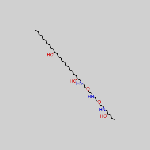 CCCCCCCCCCC(O)CCCCCCCCCCCC(O)CNCCOCCNCCOCCNCC(O)CCC